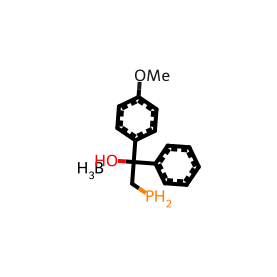 B.COc1ccc(C(O)(CP)c2ccccc2)cc1